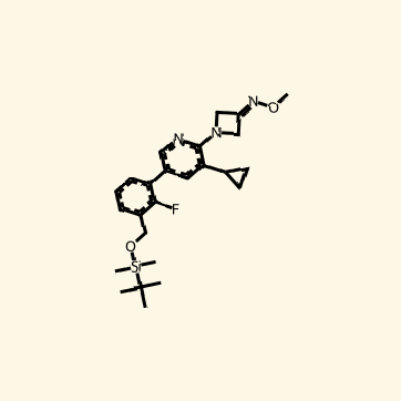 CON=C1CN(c2ncc(-c3cccc(CO[Si](C)(C)C(C)(C)C)c3F)cc2C2CC2)C1